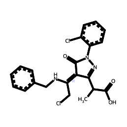 CC(C(=O)O)C1=NN(c2ccccc2Cl)C(=O)/C1=C(/CCl)NCc1ccccc1